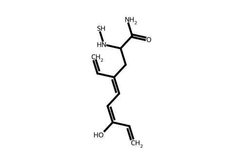 C=C/C(=C\C=C(\O)C=C)CC(NS)C(N)=O